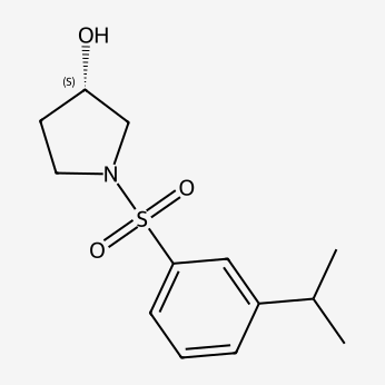 CC(C)c1cccc(S(=O)(=O)N2CC[C@H](O)C2)c1